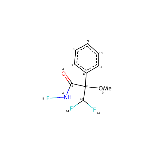 COC(C(=O)NF)(c1ccccc1)C(F)F